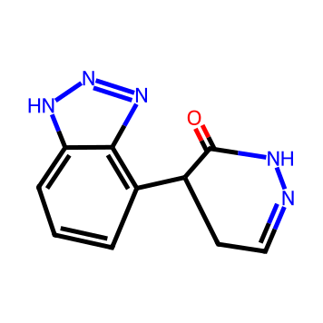 O=C1NN=CCC1c1cccc2[nH]nnc12